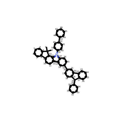 CC1(C)c2ccccc2-c2ccc3c4cc(-c5ccc6c(c5)-c5ccccc5C6c5ccccc5)ccc4n(-c4ccc(-c5ccccc5)cc4)c3c21